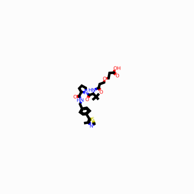 Cc1ncsc1-c1ccc(CNC(=O)C2CCCN2C(=O)[C@@H](NC(=O)CCOCCC(=O)O)C(C)(C)C)cc1